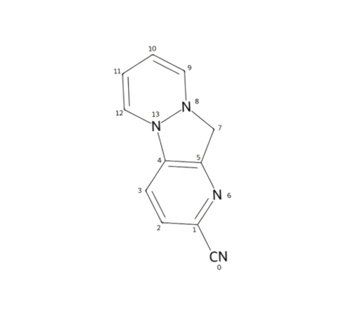 N#Cc1ccc2c(n1)CN1C=CC=CN21